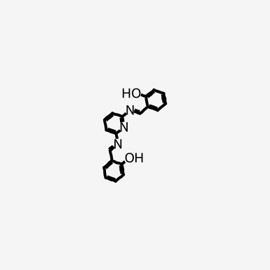 Oc1ccccc1C=Nc1cccc(N=Cc2ccccc2O)n1